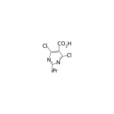 CC(C)c1nc(Cl)c(C(=O)O)c(Cl)n1